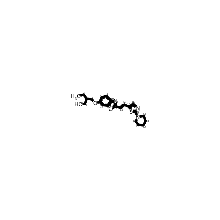 CCC(CO)COc1ccc2nc(/C=C/c3cnc(N4CCCCC4)s3)oc2c1